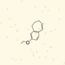 CCOc1ccc2c(c1)CCC[C]=C2